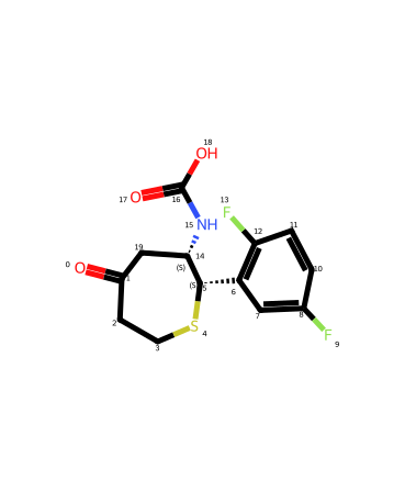 O=C1CCS[C@@H](c2cc(F)ccc2F)[C@@H](NC(=O)O)C1